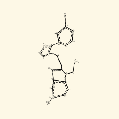 CCC1C(Cn2ccnc2-c2cccc(F)c2)=Nc2cc(N)ccc21